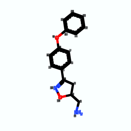 NCC1CC(c2ccc(Oc3ccccc3)cc2)=NO1